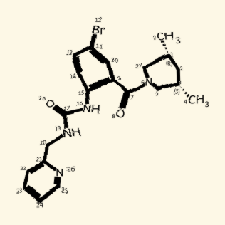 C[C@@H]1C[C@H](C)CN(C(=O)c2cc(Br)ccc2NC(=O)NCc2ccccn2)C1